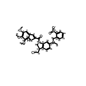 COc1cc2cc(C(=O)N3CC(CCl)c4ccc(N(C)Cc5ccccc5[N+](=O)[O-])cc43)[nH]c2c(OC)c1OC